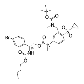 CCCCOC(=O)N[C@@H](COC(=O)Nc1ccc(S(=O)(=O)C2CC2)c(CN(C)C(=O)OC(C)(C)C)c1)c1ccc(Br)cc1